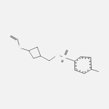 C=CNC1CC(COS(=O)(=O)c2ccc(C)cc2)C1